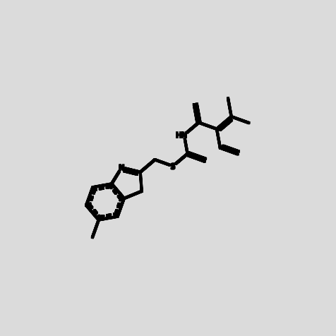 C=CC(C(=C)NC(=C)SCC1=Nc2ccc(C)cc2C1)=C(C)C